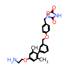 Cc1cc(OCCN)cc(C)c1-c1cccc(COc2ccc(Cn3oc(=O)[nH]c3=O)cc2)c1